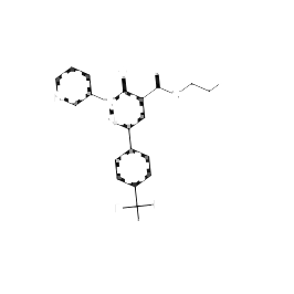 O=C(NCCO)c1cc(-c2ccc(C(F)(F)F)cc2)nn(-c2cccnc2)c1=O